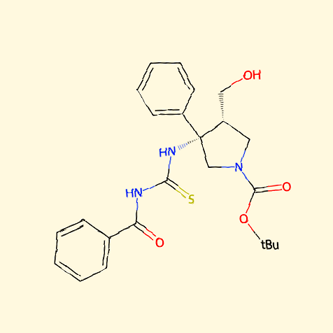 CC(C)(C)OC(=O)N1C[C@@H](CO)[C@](NC(=S)NC(=O)c2ccccc2)(c2ccccc2)C1